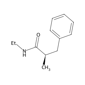 CCNC(=O)[C@H](C)Cc1ccccc1